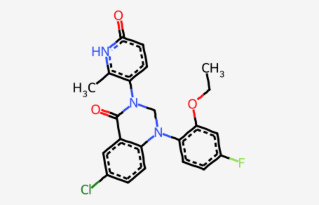 CCOc1cc(F)ccc1N1CN(c2ccc(=O)[nH]c2C)C(=O)c2cc(Cl)ccc21